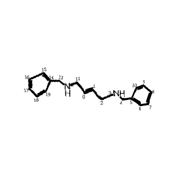 C(=CCNCc1ccccc1)CNCc1ccccc1